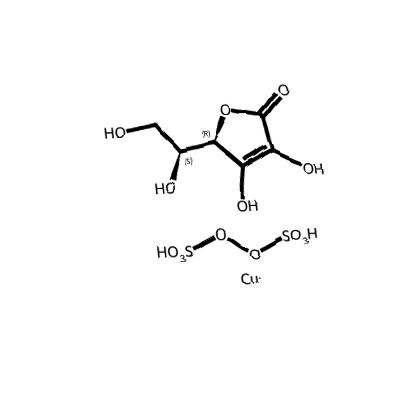 O=C1O[C@H]([C@@H](O)CO)C(O)=C1O.O=S(=O)(O)OOS(=O)(=O)O.[Cu]